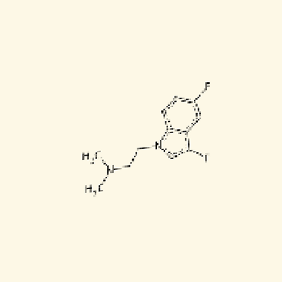 CN(C)CCn1cc(F)c2cc(F)ccc21